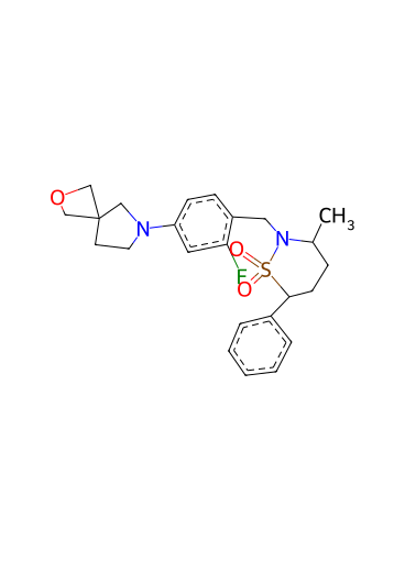 CC1CCC(c2ccccc2)S(=O)(=O)N1Cc1ccc(N2CCC3(COC3)C2)cc1F